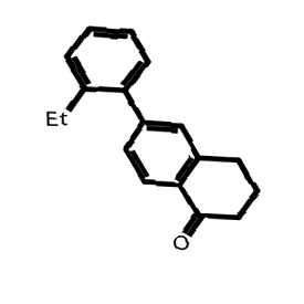 CCc1ccccc1-c1ccc2c(c1)CCCC2=O